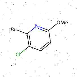 COc1ccc(Cl)c(C(C)(C)C)n1